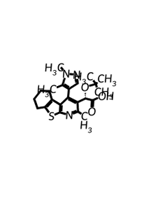 Cc1nc2sc3c(c2c(-c2cnn(C)c2C)c1[C@H](OC(C)(C)C)C(=O)O)CCCC3